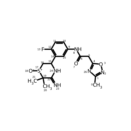 Cc1noc(CC(=O)Nc2ccc(F)c(C3C[S+]([O-])C(C)(C)C(=N)N3)c2)n1